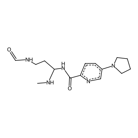 CNC(CCNC=O)NC(=O)c1ccc(N2CCCC2)cn1